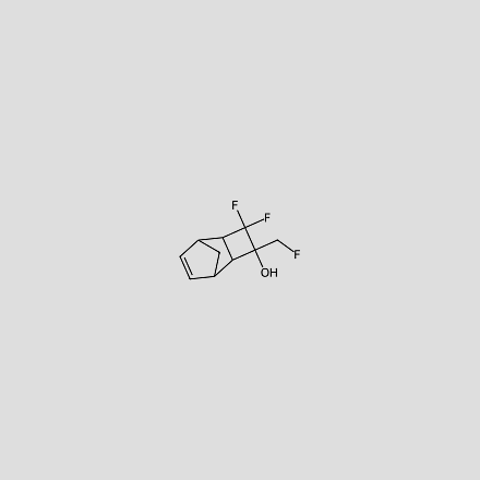 OC1(CF)C2C3C=CC(C3)C2C1(F)F